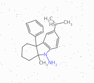 C[SiH](C)c1ccc2c(c1)C1(c3ccccc3)CCCCC1(C)N2N